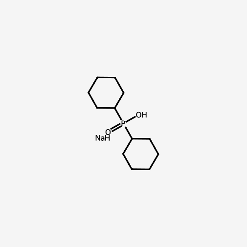 O=P(O)(C1CCCCC1)C1CCCCC1.[NaH]